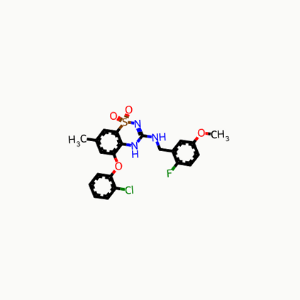 COc1ccc(F)c(CNC2=NS(=O)(=O)c3cc(C)cc(Oc4ccccc4Cl)c3N2)c1